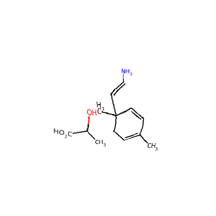 CC(O)C(=O)O.CC1=CCC(C)(C=CN)C=C1